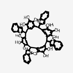 Oc1c2cc(c(O)c1O)C(c1cc3ccccc3s1)c1cc(c(O)c(O)c1O)C(c1cc3ccccc3s1)c1cc(c(O)c(O)c1O)C(c1cc3ccccc3s1)c1cc(c(O)c(O)c1O)C2c1cc2ccccc2s1